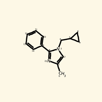 Cc1cn(CC2CC2)c(-c2ccccc2)n1